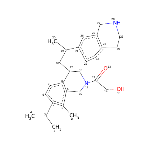 Cc1c(C(C)C)ccc2c1CN(C(=O)CO)CC2CC(C)c1ccc2c(c1)CNCC2